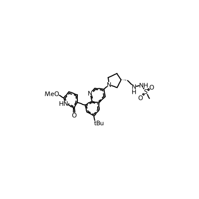 COc1ccc(-c2cc(C(C)(C)C)cc3cc(N4CC[C@H](CNNS(C)(=O)=O)C4)cnc23)c(=O)[nH]1